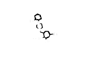 CCc1ccccc1N1CCN(CC2=CC=C(C(C)C)C=C(O)C2C=O)CC1